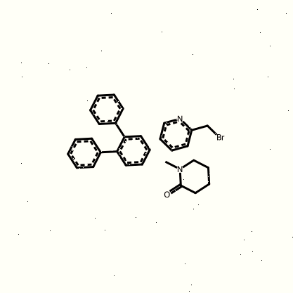 BrCc1ccccn1.CN1CCCCC1=O.c1ccc(-c2ccccc2-c2ccccc2)cc1